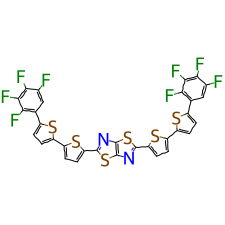 Fc1cc(-c2ccc(-c3ccc(-c4nc5sc(-c6ccc(-c7ccc(-c8cc(F)c(F)c(F)c8F)s7)s6)nc5s4)s3)s2)c(F)c(F)c1F